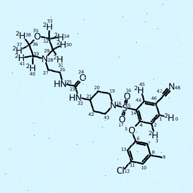 [2H]c1c([2H])c(Oc2cc(C)cc(Cl)c2)c(S(=O)(=O)N2CCC(NC(=O)NCCN3C([2H])([2H])C([2H])([2H])OC([2H])([2H])C3([2H])[2H])CC2)c([2H])c1C#N